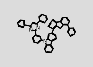 c1ccc(-c2cc(-c3ccccc3)nc(-c3cccc(-n4c5ccccc5c5ccc(-c6cccc7c6Cc6c(-c8ccccc8)cccc6-7)cc54)c3)n2)cc1